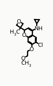 COCCOc1cc2c(cc1Cl)C(NC1CC1)=CC(C1(C)COC1)O2